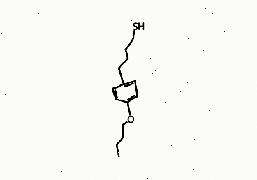 CCCCOc1ccc(CCCCS)cc1